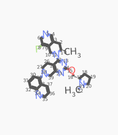 C[C@H]1Cc2cncc(F)c2CN1c1nc(OC[C@@H]2CCCN2C)nc2c1CCN(c1cccc3ncccc13)C2